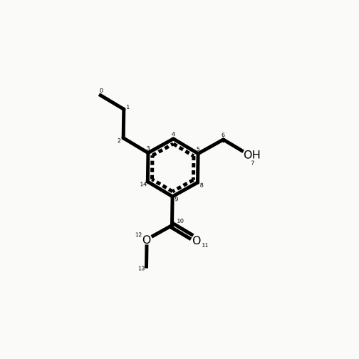 CCCc1cc([CH]O)cc(C(=O)OC)c1